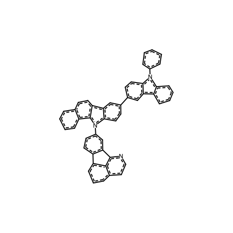 c1ccc(-n2c3ccccc3c3cc(-c4ccc5c(c4)c4ccc6ccccc6c4n5-c4ccc5c(c4)-c4nccc6cccc-5c46)ccc32)cc1